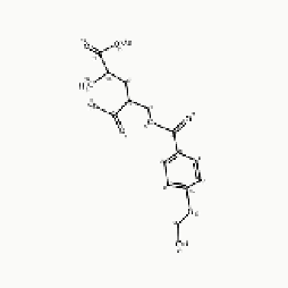 CCC(=O)C(COC(=O)c1ccc(OCO)cc1)CC(C)C(=O)OC